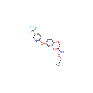 C[C@@H](Oc1ccc(Oc2ccc(C(F)(F)F)cn2)cc1)C(=O)NOCC1CC1